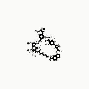 Cc1ncsc1-c1ccc(CNC(=O)[C@@H]2C[C@@H](O)CN2C(=O)C(NC(=O)CCCCCNC(=O)c2ccc3c(c2)[C@H](NC(=O)c2cc(-c4ccc(C(=O)N(C)C)c(O)c4)on2)CC3)C(C)(C)C)cc1